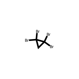 BrC1(Br)[CH]C1(Br)Br